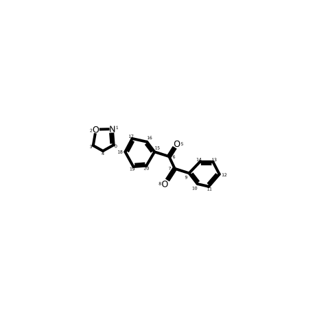 C1=NOCC1.O=C(C(=O)c1ccccc1)c1ccccc1